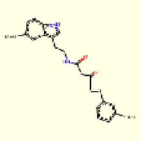 COc1cccc(/C=C/C(=O)CC(=O)NCCc2c[nH]c3ccc(OC)cc23)c1